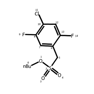 CCCCOS(=O)(=O)Cc1cc(F)c(Cl)cc1F